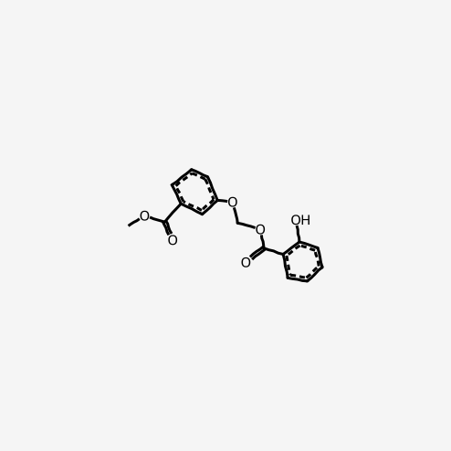 COC(=O)c1cccc(OCOC(=O)c2ccccc2O)c1